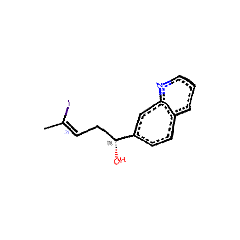 C/C(I)=C/C[C@@H](O)c1ccc2cccnc2c1